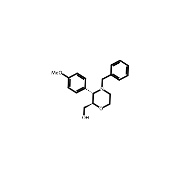 COc1ccc([C@H]2[C@H](CO)OCCN2Cc2ccccc2)cc1